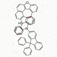 c1ccc(N(c2ccc(-c3cccc4oc5ccc6ccc7c(c6c5c34)-c3ccccc3[SiH]7c3ccccc3)cc2)c2ccc3c(c2)C(c2ccccc2)(c2ccccc2)c2ccccc2-3)cc1